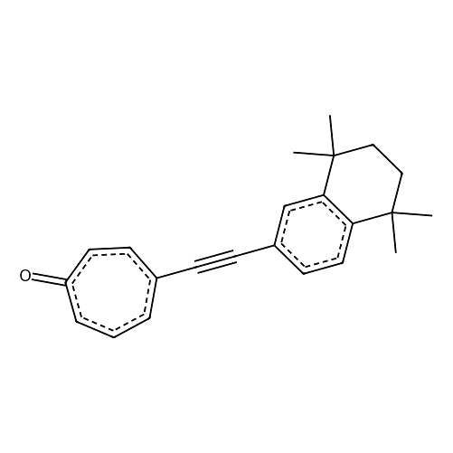 CC1(C)CCC(C)(C)c2cc(C#Cc3cccc(=O)cc3)ccc21